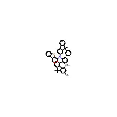 CC(C)(C)c1cc(C(C)(C)C)c2c(c1)C(C)(C)c1cccc(-c3ccccc3N(c3ccc4c(c3)C(C)(c3ccccc3)c3ccccc3-4)c3cccc4c3sc3ccccc34)c1-2